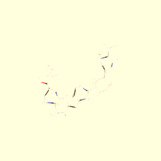 CN(C)c1ncc(C2CN(c3ncc4sc(CN(C)c5ncc(C(=O)NO)cn5)cc4n3)CCO2)cn1